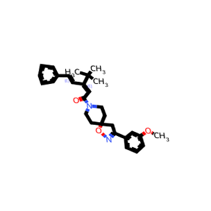 COc1cccc(C2=NOC3(CCN(C(=O)/C=C(\C=C\c4ccccc4)C(C)(C)C)CC3)C2)c1